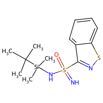 CC(C)(C)[Si](C)(C)NS(=N)(=O)c1nsc2ccccc12